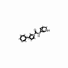 O=C(NC1CC2CNC1C2)n1ccc(-c2cccnc2)c1